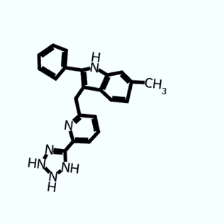 Cc1ccc2c(Cc3cccc(C4=NNNN4)n3)c(-c3ccccc3)[nH]c2c1